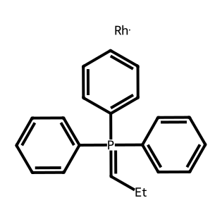 CCC=P(c1ccccc1)(c1ccccc1)c1ccccc1.[Rh]